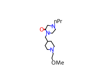 CCCN1CCN(CC2CCN(CCOC)CC2)C(=O)C1